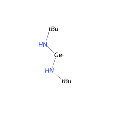 CC(C)(C)[NH][Ge][NH]C(C)(C)C